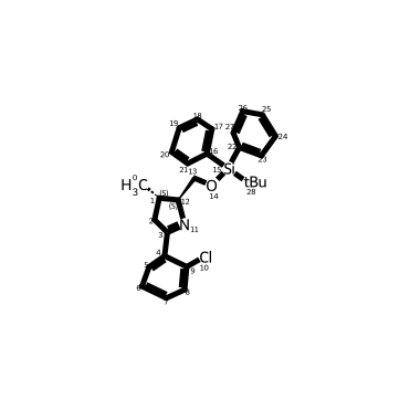 C[C@H]1CC(c2ccccc2Cl)=N[C@@H]1CO[Si](c1ccccc1)(c1ccccc1)C(C)(C)C